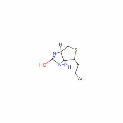 CC(=O)CC[C@@H]1SC[C@@H]2N=C(O)N[C@@H]21